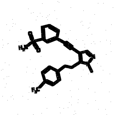 Cn1ncc(C#Cc2cccc(S(N)(=O)=O)c2)c1CCc1ccc(C(F)(F)F)cc1